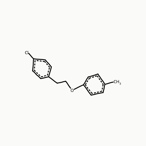 Cc1ccc(OCCc2ccc(Cl)cc2)cc1